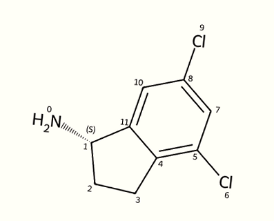 N[C@H]1CCc2c(Cl)cc(Cl)cc21